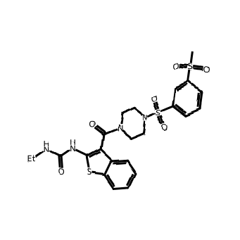 CCNC(=O)Nc1sc2ccccc2c1C(=O)N1CCN(S(=O)(=O)c2cccc(S(C)(=O)=O)c2)CC1